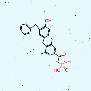 Cc1cc(C(=O)CP(=O)(O)O)cc(C)c1Cc1ccc(O)c(Cc2ccccc2)c1